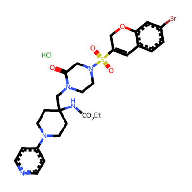 CCOC(=O)NC1(CN2CCN(S(=O)(=O)C3=Cc4ccc(Br)cc4OC3)CC2=O)CCN(c2ccncc2)CC1.Cl